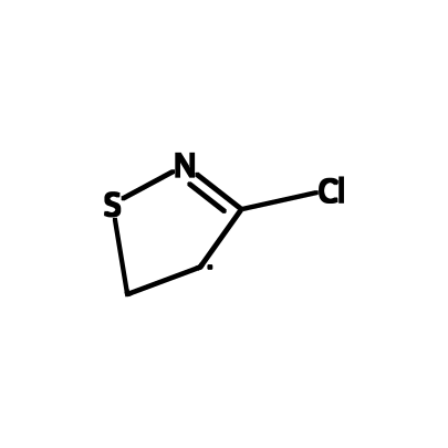 ClC1=NSC[CH]1